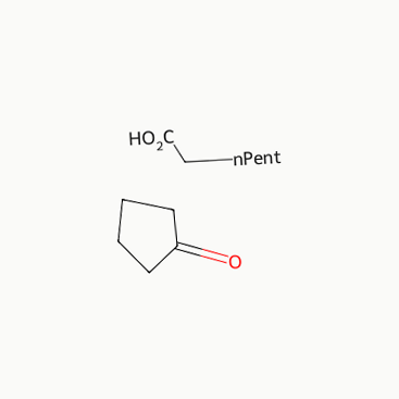 CCCCCCC(=O)O.O=C1CCCC1